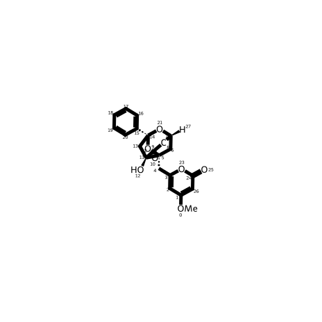 COc1cc(C[C@]23C[C@@H]4CC(=O)[C@@]2(O)C[C@@](c2ccccc2)(O4)O3)oc(=O)c1